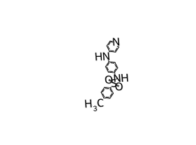 Cc1ccc(S(=O)(=O)Nc2ccc(Nc3ccncc3)cc2)cc1